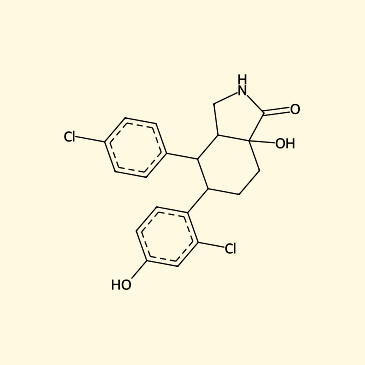 O=C1NCC2C(c3ccc(Cl)cc3)C(c3ccc(O)cc3Cl)CCC12O